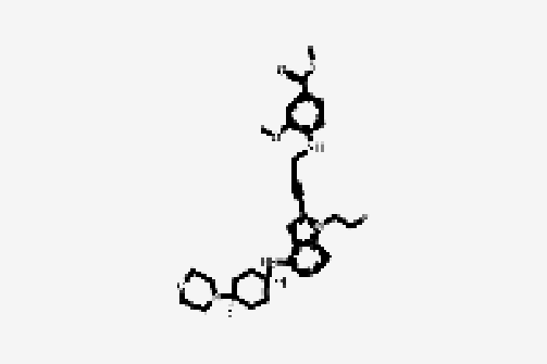 CNC(=O)c1ccc(NCC#Cc2cc3c(N[C@]4(I)CC[C@](C)(N5CCOCC5)CC4)cccc3n2CCF)c(OC)c1